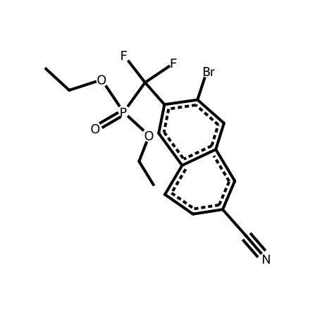 CCOP(=O)(OCC)C(F)(F)c1cc2ccc(C#N)cc2cc1Br